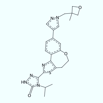 CC(C)n1c(-c2nc3c(s2)CCOc2cc(-c4cnn(CC5(C)COC5)c4)ccc2-3)n[nH]c1=O